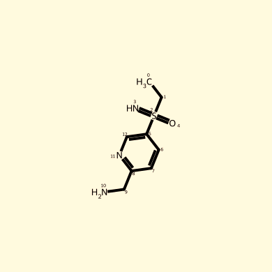 CCS(=N)(=O)c1ccc(CN)nc1